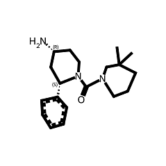 CC1(C)CCCN(C(=O)N2CC[C@@H](N)C[C@H]2c2ccccc2)C1